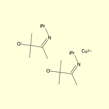 CC(=NC(C)C)C(C)(C)[O-].CC(=NC(C)C)C(C)(C)[O-].[Cu+2]